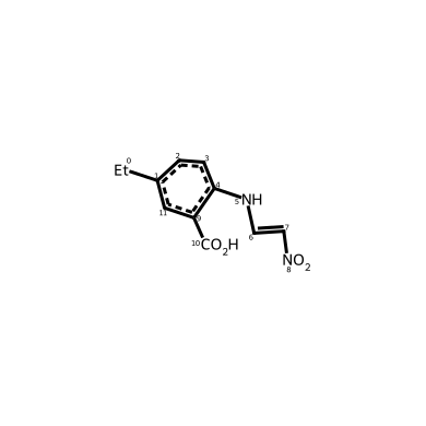 CCc1ccc(NC=C[N+](=O)[O-])c(C(=O)O)c1